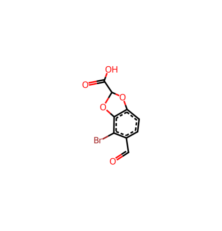 O=Cc1ccc2c(c1Br)OC(C(=O)O)O2